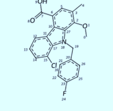 COc1c(C)cc(C(=O)O)c2c3cccc(Cl)c3n(Cc3ccc(F)cc3)c12